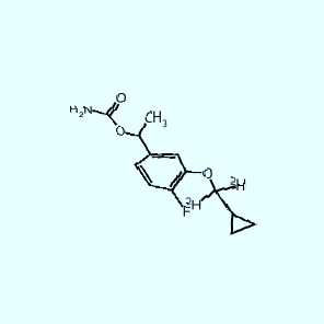 [2H]C([2H])(Oc1cc(C(C)OC(N)=O)ccc1F)C1CC1